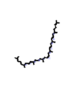 CC(C)=CCC/C(C)=C/C=C/C(C)=C/C=C/C(C)=C/C=C\C=C(C)\C=C\C=C(C)\C=C\C=C(/C)CCC=C(C)C